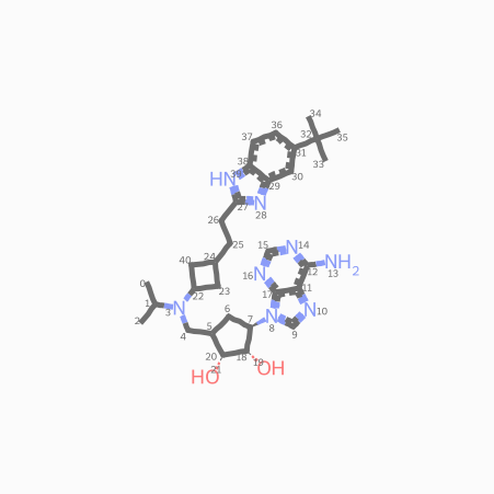 CC(C)N(CC1C[C@@H](n2cnc3c(N)ncnc32)[C@H](O)[C@@H]1O)C1CC(CCc2nc3cc(C(C)(C)C)ccc3[nH]2)C1